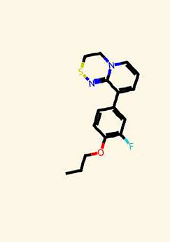 CCCOc1ccc(C2=CC=CN3CCSN=C23)cc1F